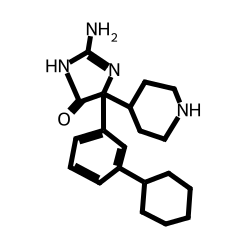 NC1=NC(c2cccc(C3CCCCC3)c2)(C2CCNCC2)C(=O)N1